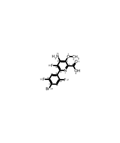 COc1c(C(=O)O)nc(-c2cc(F)c(Br)cc2F)c(F)c1N